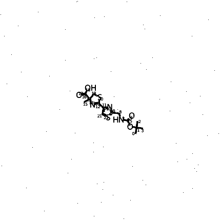 CC(C)(C)OC(=O)NCc1nc(C2=NC(C)(C(=O)O)CS2)cs1